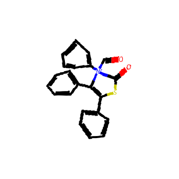 O=C[N+]1(c2ccccc2)C(=O)SC(c2ccccc2)=C1c1ccccc1